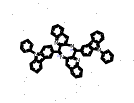 c1ccc(-n2c3ccccc3c3cc(/C4=N/c5cc6ccccc6nc5/C(c5ccc6c(c5)c5ccccc5n6-c5ccccc5)=N\c5cc6ccccc6nc54)ccc32)cc1